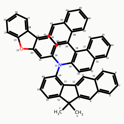 CC1(C)c2cc3ccccc3cc2-c2c(N(c3ccc4c(c3)oc3ccccc34)c3ccc4ccccc4c3-c3cccc4ccccc34)cccc21